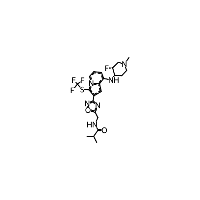 CC(C)C(=O)NCc1nc(-c2cc3c(N[C@@H]4CCN(C)C[C@@H]4F)cccn3c2SC(F)(F)F)no1